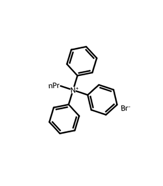 CCC[N+](c1ccccc1)(c1ccccc1)c1ccccc1.[Br-]